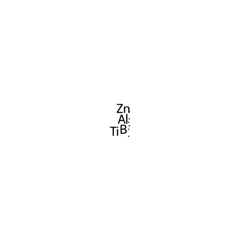 [Al].[B].[Ti].[Zn]